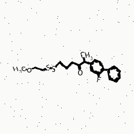 COCCSSCCCC(=O)C(C)c1ccc(-c2ccccc2)c(F)c1